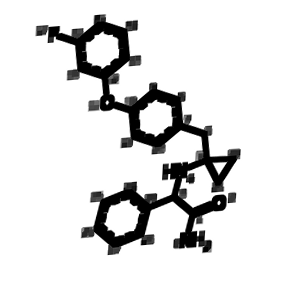 NC(=O)C(NC1(Cc2ccc(Oc3cccc(F)c3)cc2)CC1)c1ccccc1